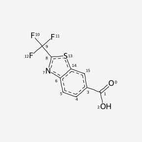 O=C(O)c1ccc2nc(C(F)(F)F)sc2c1